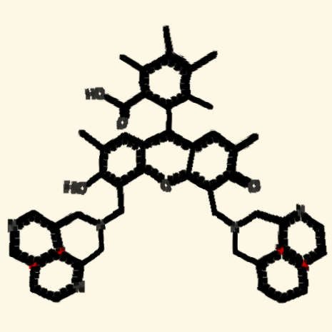 Cc1cc2c(-c3c(C)c(C)c(C)c(C)c3C(=O)O)c3cc(C)c(=O)c(CN(Cc4ccccn4)Cc4cnccn4)c-3oc2c(CN(Cc2ccccn2)Cc2cnccn2)c1O